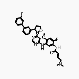 COc1cc(F)c(NC(=O)/C=C/CN(C)C)cc1Nc1cc(N2OCCC2c2cccc(-c3cccc(F)c3)c2)ncn1